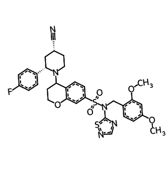 COc1ccc(CN(c2ncns2)S(=O)(=O)c2ccc3c(c2)OCCC3N2CC[C@@H](C#N)C[C@H]2c2ccc(F)cc2)c(OC)c1